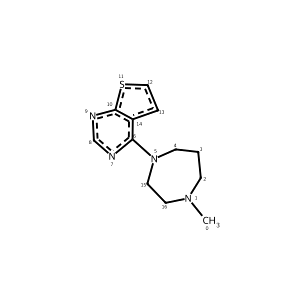 CN1CCCN(c2ncnc3sccc23)CC1